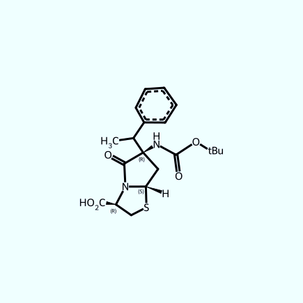 CC(c1ccccc1)[C@]1(NC(=O)OC(C)(C)C)C[C@@H]2SC[C@@H](C(=O)O)N2C1=O